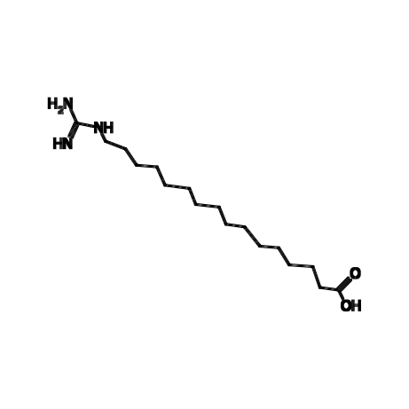 N=C(N)NCCCCCCCCCCCCCCCC(=O)O